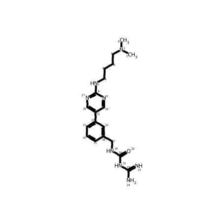 CN(C)CCCCNc1ncc(-c2cccc(CNC(=O)NC(=N)N)c2)cn1